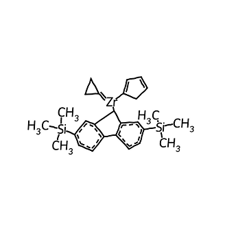 C[Si](C)(C)c1ccc2c(c1)[CH]([Zr]([C]1=CC=CC1)=[C]1CC1)c1cc([Si](C)(C)C)ccc1-2